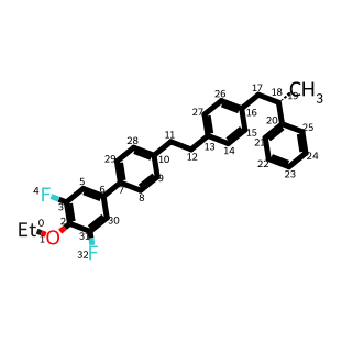 CCOc1c(F)cc(-c2ccc(CCc3ccc(C[C@H](C)c4ccccc4)cc3)cc2)cc1F